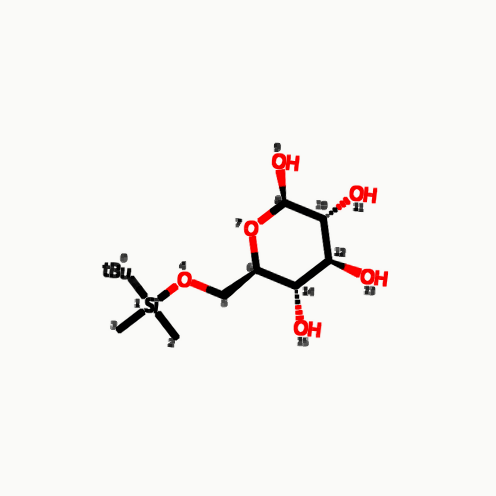 CC(C)(C)[Si](C)(C)OC[C@H]1O[C@@H](O)[C@H](O)[C@@H](O)[C@@H]1O